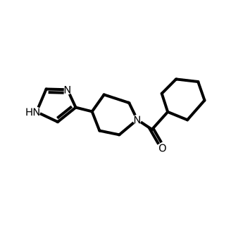 O=C(C1CCCCC1)N1CCC(c2c[nH]cn2)CC1